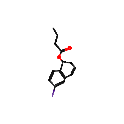 CCCC(=O)OC1CC=Cc2cc(I)ccc21